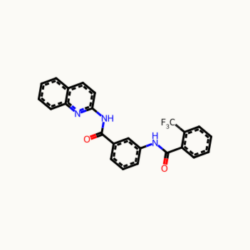 O=C(Nc1ccc2ccccc2n1)c1cccc(NC(=O)c2ccccc2C(F)(F)F)c1